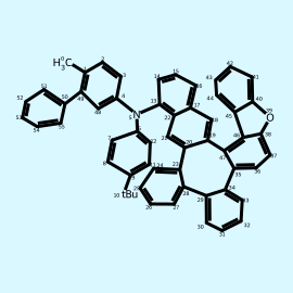 Cc1ccc(N(c2ccc(C(C)(C)C)cc2)c2cccc3cc4c(cc23)-c2ccccc2-c2ccccc2-c2ccc3oc5ccccc5c3c2-4)cc1-c1ccccc1